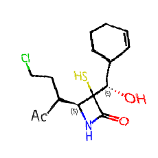 CC(=O)C(CCCl)[C@@H]1NC(=O)C1(S)[C@@H](O)C1C=CCCC1